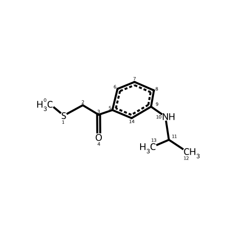 CSCC(=O)c1cccc(NC(C)C)c1